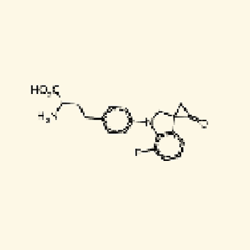 N[C@@H](CCc1ccc(N2CC3(CC3=O)c3cccc(F)c32)cc1)C(=O)O